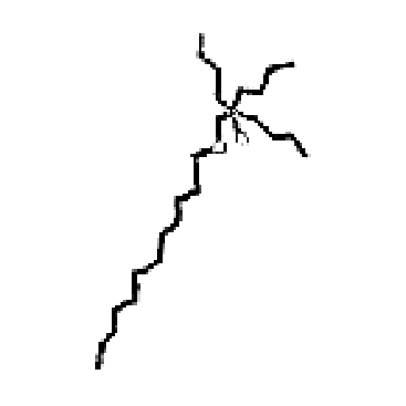 CCCCCCCCCCCCOCP(Cl)(CCCC)(CCCC)CCCC